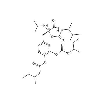 CCC(C)OC(=O)Oc1ccc(C[C@](NC(C)C)(OC(=O)OC(C)C(C)C)C(=O)O)cc1OC(=O)OC(C)CC